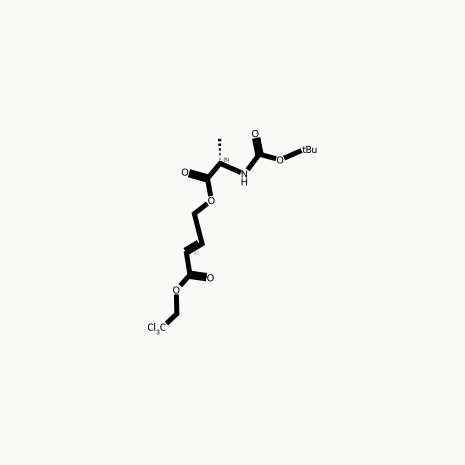 C[C@H](NC(=O)OC(C)(C)C)C(=O)OC/C=C/C(=O)OCC(Cl)(Cl)Cl